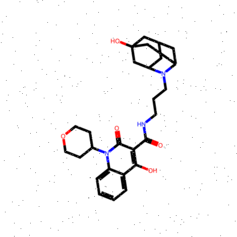 O=C(NCCCN1C2CC3CC1CC(O)(C3)C2)c1c(O)c2ccccc2n(C2CCOCC2)c1=O